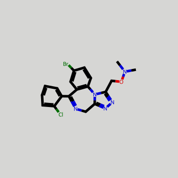 CN(C)OCc1nnc2n1-c1ccc(Br)cc1C(c1ccccc1Cl)=NC2